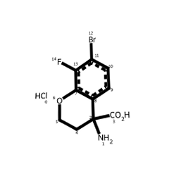 Cl.NC1(C(=O)O)CCOc2c1ccc(Br)c2F